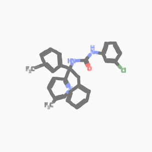 O=C(Nc1cccc(Cl)c1)NC(Cc1ccccc1)(c1cccc(C(F)(F)F)c1)c1ccc(C(F)(F)F)cn1